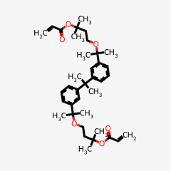 C=CC(=O)OC(C)(C)CCOC(C)(C)c1cccc(C(C)(C)c2cccc(C(C)(C)OCCC(C)(C)OC(=O)C=C)c2)c1